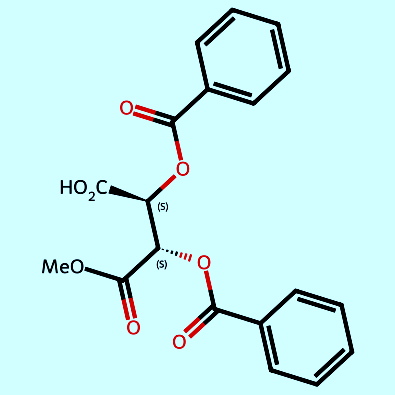 COC(=O)[C@@H](OC(=O)c1ccccc1)[C@H](OC(=O)c1ccccc1)C(=O)O